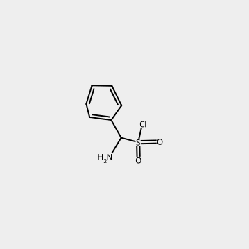 NC(c1ccccc1)S(=O)(=O)Cl